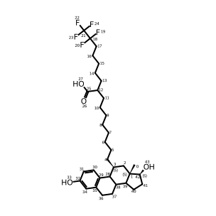 C[C@]12C[C@H](CCCCCCCCC(CCCCCC(F)(F)C(F)(F)F)C(=O)O)C3c4ccc(O)cc4CCC3C1CC[C@@H]2O